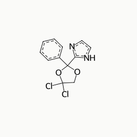 ClC1(Cl)COC(c2ccccc2)(c2ncc[nH]2)O1